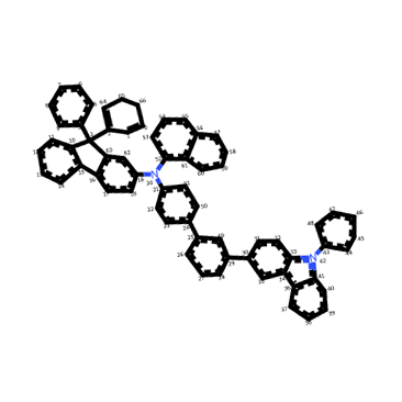 C1=CC(C2(c3ccccc3)c3ccccc3-c3ccc(N(c4ccc(-c5cccc(-c6ccc7c(c6)c6ccccc6n7-c6ccccc6)c5)cc4)c4cccc5ccccc45)cc32)=CCC1